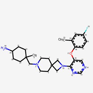 N#CC1(CN2CCC3(CC2)CN(c2ncncc2Oc2ccc(F)cc2C=O)C3)CCC(N)CC1